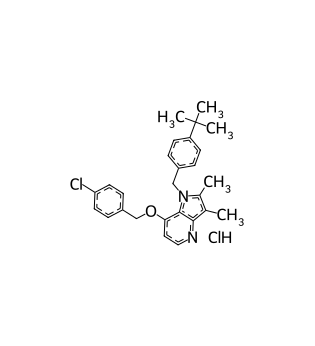 Cc1c(C)n(Cc2ccc(C(C)(C)C)cc2)c2c(OCc3ccc(Cl)cc3)ccnc12.Cl